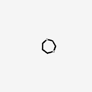 C1COCCOC1